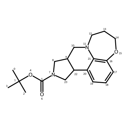 CC(C)(C)OC(=O)N1CC2CN3CCCOc4cccc(c43)C2C1